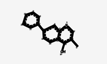 Cc1cnc2cc(-c3ccccc3)ccc2c1O